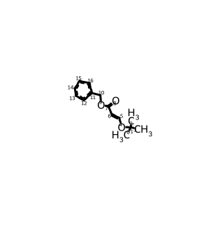 CC(C)(C)O/C=C/C(=O)OCc1ccccc1